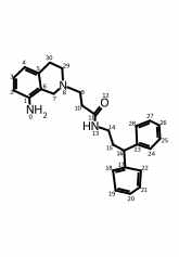 Nc1cccc2c1CN(CCC(=O)NCCC(c1ccccc1)c1ccccc1)CC2